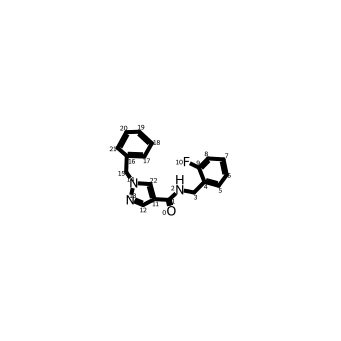 O=C(NCc1ccccc1F)c1cnn(Cc2ccccc2)c1